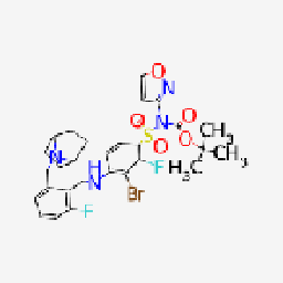 CC(C)(C)OC(=O)N(c1ccon1)S(=O)(=O)c1ccc(NCc2c(F)cccc2CN2C3CCC2CC3)c(Br)c1F